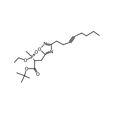 CCCCC#CCCc1noc(CC(C(=O)OC(C)(C)C)P(C)(=O)OCC)n1